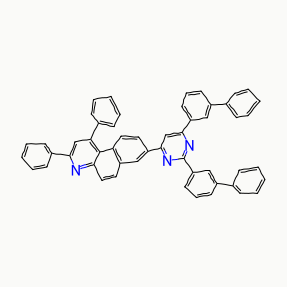 c1ccc(-c2cccc(-c3cc(-c4ccc5c(ccc6nc(-c7ccccc7)cc(-c7ccccc7)c65)c4)nc(-c4cccc(-c5ccccc5)c4)n3)c2)cc1